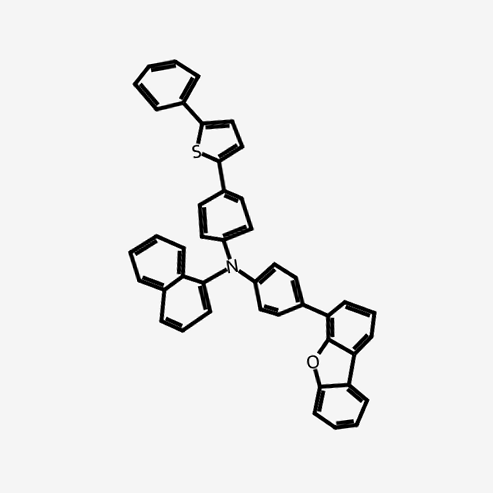 c1ccc(-c2ccc(-c3ccc(N(c4ccc(-c5cccc6c5oc5ccccc56)cc4)c4cccc5ccccc45)cc3)s2)cc1